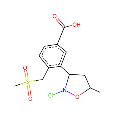 CC1CC(c2cc(C(=O)O)ccc2CS(C)(=O)=O)N(Cl)O1